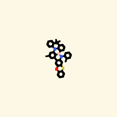 Cc1cc2c3c(c1)N1c4ccccc4[Si](C)(C)c4cccc(c41)B3N(c1ccccc1C)c1cc3c(cc1-2)Oc1ccccc1S3